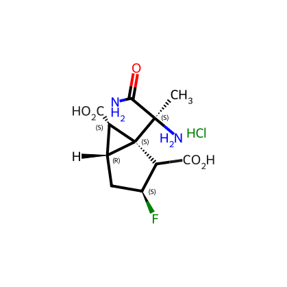 C[C@@](N)(C(N)=O)[C@@]12C(C(=O)O)[C@@H](F)C[C@@H]1[C@@H]2C(=O)O.Cl